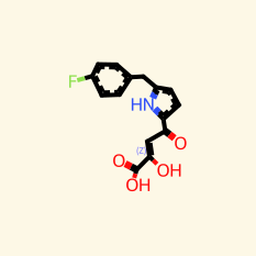 O=C(O)/C(O)=C/C(=O)c1ccc(Cc2ccc(F)cc2)[nH]1